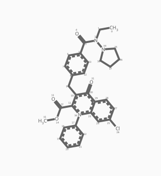 CCN(C(=O)c1ccc(Cc2c(C(=O)OC)n(-c3ccccc3)c3cc(Cl)ccc3c2=O)cc1)N1CCCC1